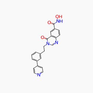 O=C(NO)c1ccc2ncn(CCc3cccc(-c4ccncc4)c3)c(=O)c2c1